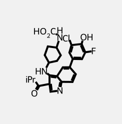 CC(C)C(=O)c1cnc2ccc(-c3cc(F)c(O)c(Cl)c3)cc2c1NC1CCC(NC(=O)O)CC1